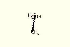 CCCCCCCCCCCC(=O)C(C)O